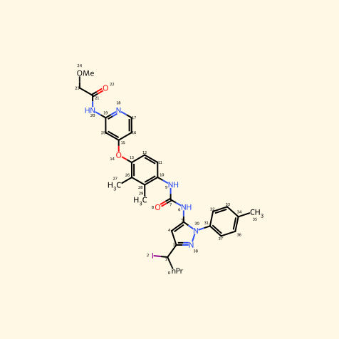 CCCC(I)c1cc(NC(=O)Nc2ccc(Oc3ccnc(NC(=O)COC)c3)c(C)c2C)n(-c2ccc(C)cc2)n1